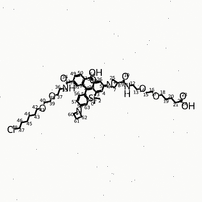 C[Si]1(C)C2=CC(=[N+]3CC(C(=O)NCCOCCOCCCCC(=O)O)C3)C=CC2=C(c2cc(C(=O)NCCOCCOCCCCCCCl)ccc2C(=O)O)c2ccc(N3CCC3)cc21